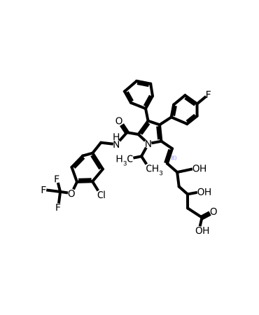 CC(C)n1c(/C=C/C(O)CC(O)CC(=O)O)c(-c2ccc(F)cc2)c(-c2ccccc2)c1C(=O)NCc1ccc(OC(F)(F)F)c(Cl)c1